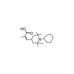 CC(=CC1CC(C)(C)N(C2CCCCC2)C(C)(C)C1)C(=O)O